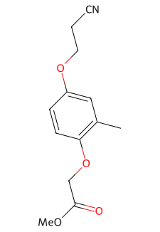 COC(=O)COc1ccc(OCCC#N)cc1C